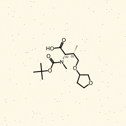 C[C@H](COC1CCOC1)[C@@H](C(=O)O)N(C)C(=O)OC(C)(C)C